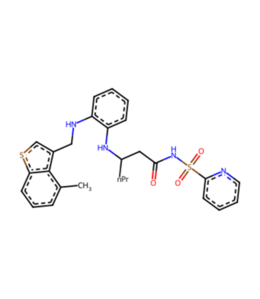 CCCC(CC(=O)NS(=O)(=O)c1ccccn1)Nc1ccccc1NCc1csc2cccc(C)c12